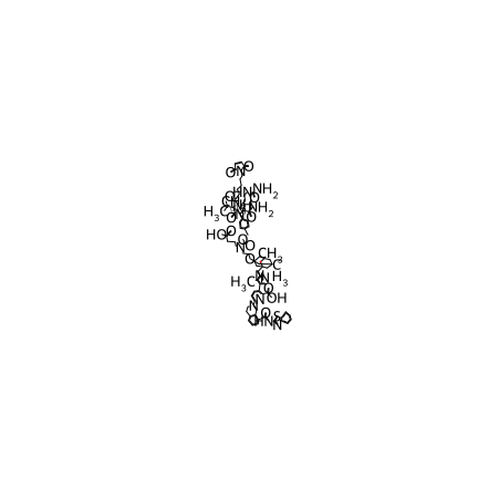 Cc1c(-c2ccc(N3CCc4cccc(C(=O)Nc5nc6ccccc6s5)c4C3)nc2C(=O)O)cnn1CC12CC3(C)CC(C)(C1)CC(OCCN(CCCC(=O)O)C(=O)OCc1ccc(N(C(=O)[C@@H](NC(=O)CCCCCN4C(=O)C=CC4=O)C(C)C)[C@@H](CCCNC(N)=O)C(N)=O)cc1)(C3)C2